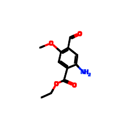 CCOC(=O)c1cc(OC)c(C=O)cc1N